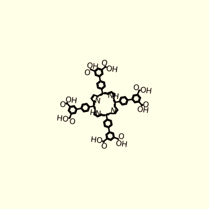 O=C(O)c1cc(C(=O)O)cc(-c2ccc(-c3c4nc(c(-c5ccc(-c6cc(C(=O)O)cc(C(=O)O)c6)cc5)c5ccc([nH]5)c(-c5ccc(-c6cc(C(=O)O)cc(C(=O)O)c6)cc5)c5nc(c(-c6ccc(-c7cc(C(=O)O)cc(C(=O)O)c7)cc6)c6ccc3[nH]6)C=C5)C=C4)cc2)c1